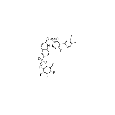 COc1cc(-c2ccc(C)c(F)c2)c(F)cc1-n1c(=O)ccc2cc(S(=O)(=O)Oc3c(F)c(F)c(F)c(F)c3F)ccc21